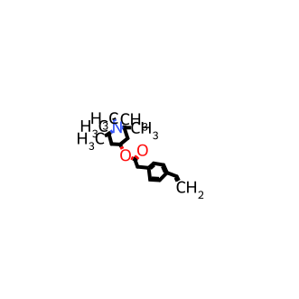 C=Cc1ccc(CC(=O)OC2CC(C)(C)N(C)C(C)(C)C2)cc1